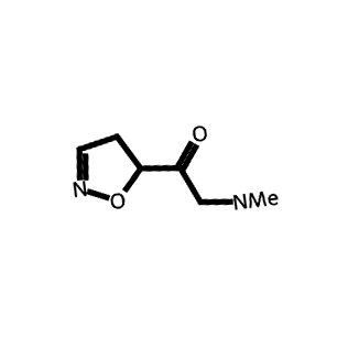 CNCC(=O)C1CC=NO1